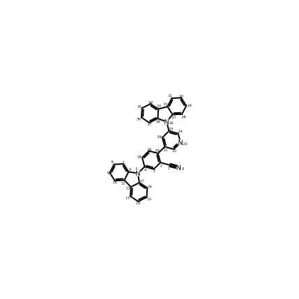 N#Cc1cc(-n2c3ccccc3c3ccccc32)ccc1-c1cncc(-n2c3ccccc3c3ccccc32)c1